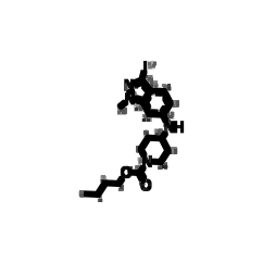 CCCCOC(=O)N1CCC(Nc2ccc3c(I)nn(C)c3c2)CC1